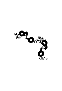 COc1ccc(Cn2ccc3ccc(S(=O)(=O)OCOc4ccc(Cn5ccc6ccc(S(=O)O)cc65)cc4)cc32)cc1